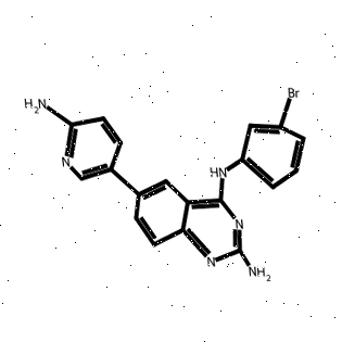 Nc1ccc(-c2ccc3nc(N)nc(Nc4cccc(Br)c4)c3c2)cn1